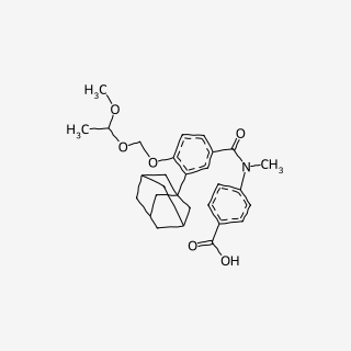 COC(C)OCOc1ccc(C(=O)N(C)c2ccc(C(=O)O)cc2)cc1C12CC3CC(CC(C3)C1)C2